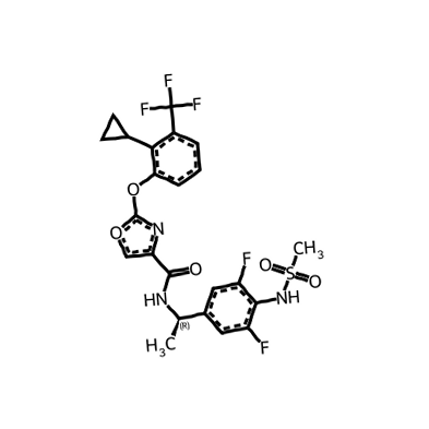 C[C@@H](NC(=O)c1coc(Oc2cccc(C(F)(F)F)c2C2CC2)n1)c1cc(F)c(NS(C)(=O)=O)c(F)c1